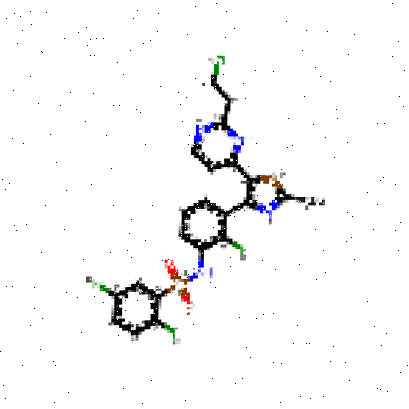 CC(C)(C)c1nc(-c2cccc(NS(=O)(=O)c3cc(F)ccc3F)c2F)c(-c2ccnc(CCCl)n2)s1